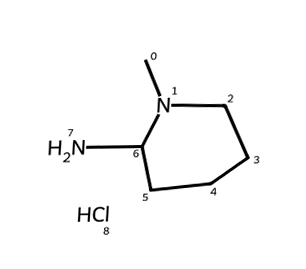 CN1CCCCC1N.Cl